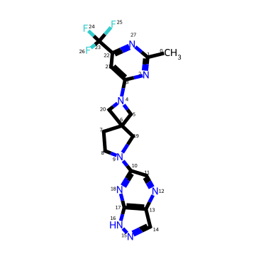 Cc1nc(N2CC3(CCN(c4cnc5cn[nH]c5n4)C3)C2)cc(C(F)(F)F)n1